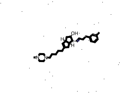 Cc1cccc(CC/C=C/[C@@H]2[C@H]3CC(CCCCCN4CCN(C)CC4)=C[C@H]3C[C@H]2O)c1